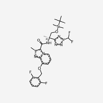 Cc1nc2c(OCc3c(F)cccc3F)cccn2c1C(=O)N[C@@](C)(CO[Si](C)(C)C(C)(C)C)c1nnn(C(F)F)n1